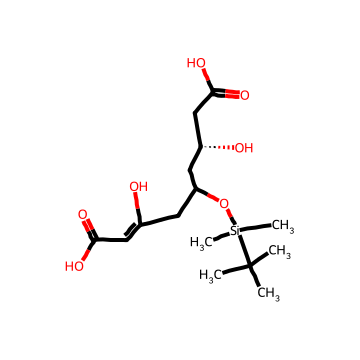 CC(C)(C)[Si](C)(C)OC(CC(O)=CC(=O)O)C[C@@H](O)CC(=O)O